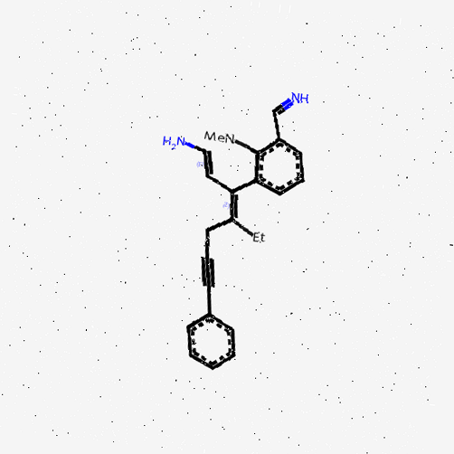 CC/C(CC#Cc1ccccc1)=C(/C=C/N)c1cccc(C=N)c1NC